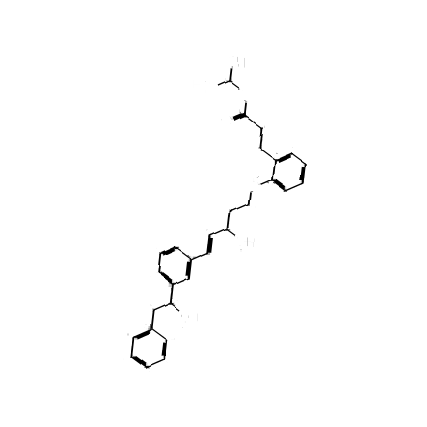 CC(C)OC(=O)CCc1ccccc1OCCC(O)/C=C/c1cccc(C(O)Cc2ccccc2)c1